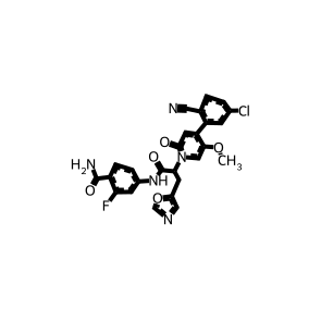 COc1cn(C(Cc2cnco2)C(=O)Nc2ccc(C(N)=O)c(F)c2)c(=O)cc1-c1cc(Cl)ccc1C#N